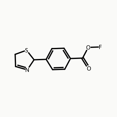 O=C(OF)c1ccc(C2N=CCS2)cc1